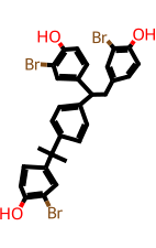 CC(C)(c1ccc(C(Cc2ccc(O)c(Br)c2)c2ccc(O)c(Br)c2)cc1)c1ccc(O)c(Br)c1